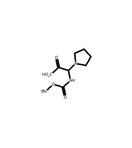 CC(C)(C)OC(=O)NC(C(=O)C(=O)O)N1CCCC1